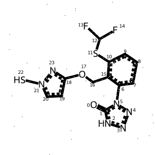 O=c1[nH]nnn1-c1cccc(SC(F)F)c1COc1ccn(S)n1